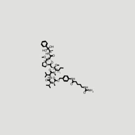 CC[C@H](C)[C@@H]([C@@H](CC(=O)N1CCC[C@H]1[C@H](OC)[C@@H](C)C(=O)N[C@H](C)C(O)(O)c1ccccc1)OC)N(C)C(=O)[C@@H](NC(=O)[C@H](C(C)C)N(C)C(=O)OCc1ccc(NC(=O)CCCCNC(N)=O)cc1)C(C)C